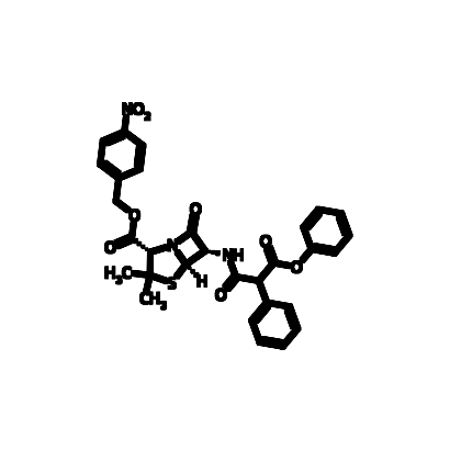 CC1(C)S[C@@H]2[C@@H](NC(=O)C(C(=O)Oc3ccccc3)c3ccccc3)C(=O)N2[C@H]1C(=O)OCc1ccc([N+](=O)[O-])cc1